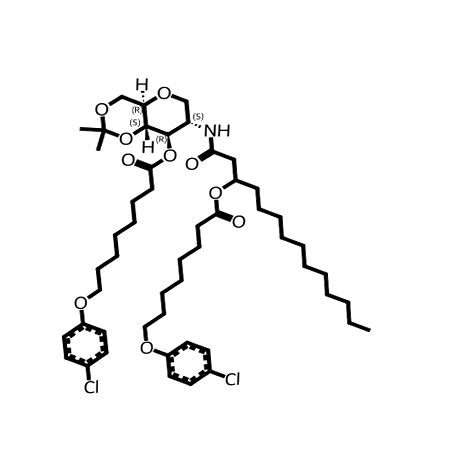 CCCCCCCCCCCC(CC(=O)N[C@H]1CO[C@@H]2COC(C)(C)O[C@H]2[C@@H]1OC(=O)CCCCCCCOc1ccc(Cl)cc1)OC(=O)CCCCCCCOc1ccc(Cl)cc1